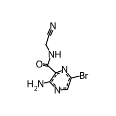 N#CCNC(=O)c1nc(Br)cnc1N